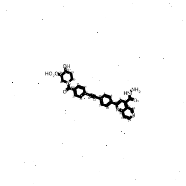 NNC(=O)c1cc(-c2ccc(C#Cc3ccc(C(=O)N4CCC(O)C(C(=O)O)C4)cc3)cc2)nc2ccncc12